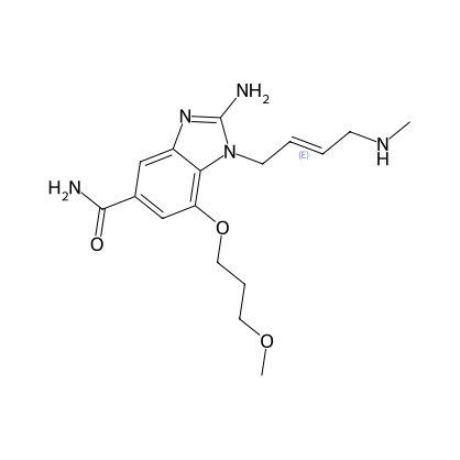 CNC/C=C/Cn1c(N)nc2cc(C(N)=O)cc(OCCCOC)c21